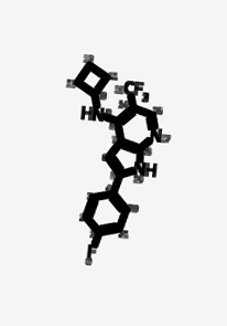 Fc1ccc(-c2cc3c(NC4CCC4)c(C(F)(F)F)cnc3[nH]2)cc1